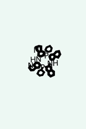 c1ccc2cc3c(cc2c1)Nc1cc2ccccc2cc1P(C1CCCCC1)c1cc2cccnc2cc1Nc1cc2ncccc2cc1P3C1CCCCC1